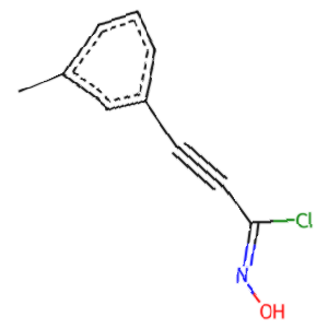 Cc1cccc(C#CC(Cl)=NO)c1